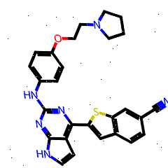 N#Cc1ccc2cc(-c3nc(Nc4ccc(OCCN5CCCC5)cc4)nc4[nH]ccc34)sc2c1